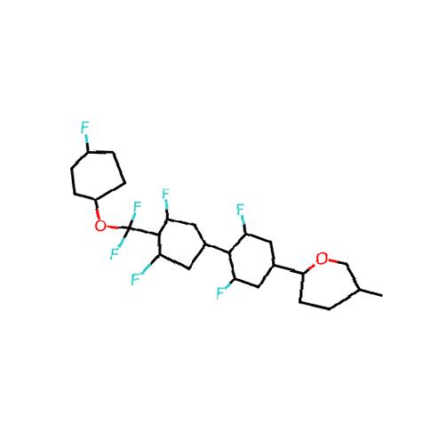 CC1CCC(C2CC(F)C(C3CC(F)C(C(F)(F)OC4CCC(F)CC4)C(F)C3)C(F)C2)OC1